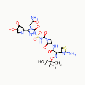 CC(C)(O/N=C(\C(=O)N[C@H]1CN(C(=O)NS(=O)(=O)n2nc(-c3cc(=O)c(O)c[nH]3)n(CC(N)=O)c2=O)C1=O)c1csc(N)n1)C(=O)O